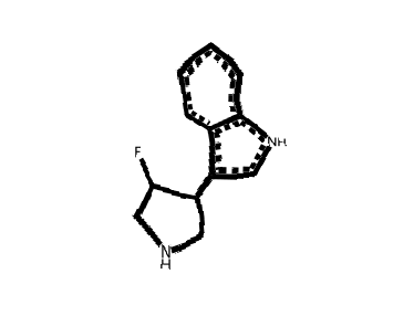 FC1CNCC1c1c[nH]c2ccccc12